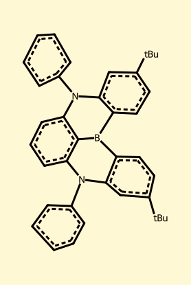 CC(C)(C)c1ccc2c(c1)N(c1ccccc1)c1cccc3c1B2c1ccc(C(C)(C)C)cc1N3c1ccccc1